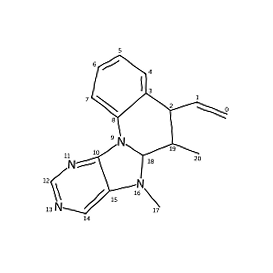 C=CC1c2ccccc2N2c3ncncc3N(C)C2C1C